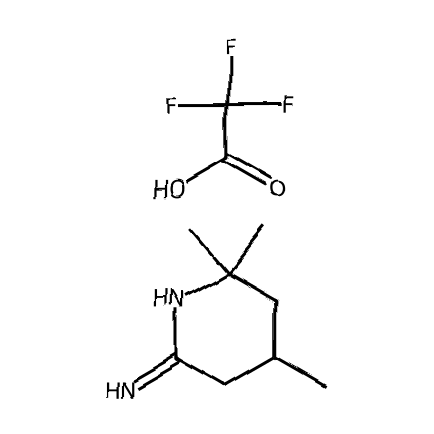 CC1CC(=N)NC(C)(C)C1.O=C(O)C(F)(F)F